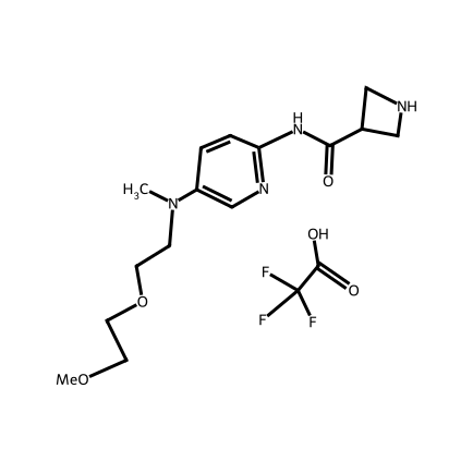 COCCOCCN(C)c1ccc(NC(=O)C2CNC2)nc1.O=C(O)C(F)(F)F